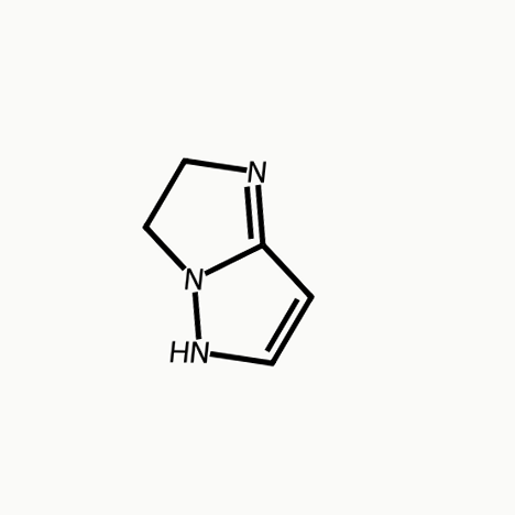 C1=CC2=NCCN2N1